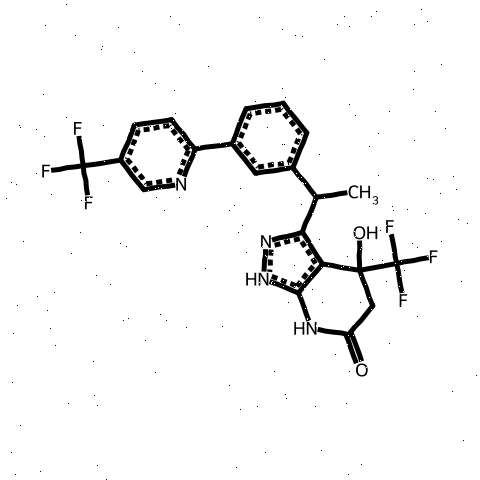 CC(c1cccc(-c2ccc(C(F)(F)F)cn2)c1)c1n[nH]c2c1C(O)(C(F)(F)F)CC(=O)N2